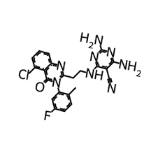 Cc1ccc(F)cc1-n1c(CCNc2nc(N)nc(N)c2C#N)nc2cccc(Cl)c2c1=O